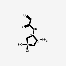 C=CC(=O)N[C@@H]1CS(O)(O)C[C@@H]1N